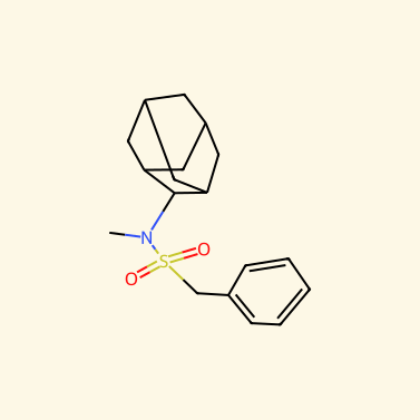 CN(C1C2CC3CC(C2)CC1C3)S(=O)(=O)Cc1ccccc1